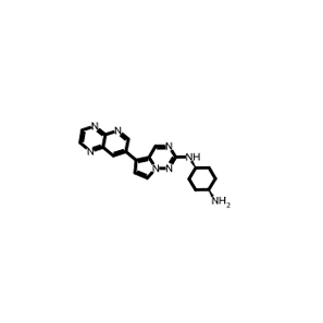 N[C@H]1CC[C@@H](Nc2ncc3c(-c4cnc5nccnc5c4)ccn3n2)CC1